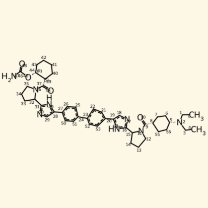 CCN(CC)[C@H]1CC[C@@H](C(=O)N2CCCC2c2ncc(-c3ccc(-c4ccc(-c5cnc(C6CCCN6C(=O)[C@H]6CCCC[C@H]6OC(N)=O)[nH]5)cc4)cc3)[nH]2)CC1